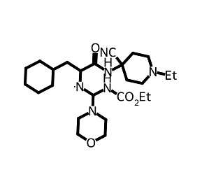 CCOC(=O)NC([N]C(CC1CCCCC1)C(=O)NC1(C#N)CCN(CC)CC1)N1CCOCC1